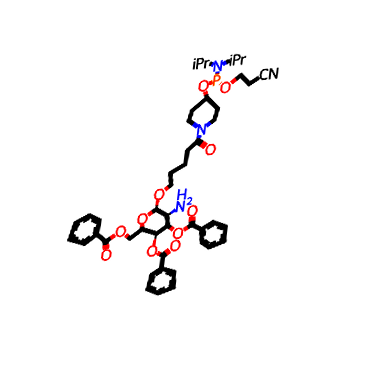 CC(C)N(C(C)C)P(OCCC#N)OC1CCN(C(=O)CCCCO[C@@H]2OC(COC(=O)c3ccccc3)[C@H](OC(=O)c3ccccc3)C(OC(=O)c3ccccc3)[C@@H]2N)CC1